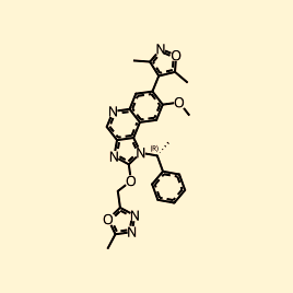 COc1cc2c(cc1-c1c(C)noc1C)ncc1nc(OCc3nnc(C)o3)n([C@H](C)c3ccccc3)c12